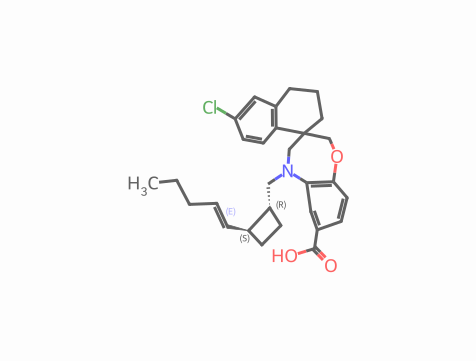 CCC/C=C/[C@@H]1CC[C@H]1CN1CC2(CCCc3cc(Cl)ccc32)COc2ccc(C(=O)O)cc21